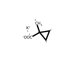 CC1(C(=O)[O-])CC1.[K+]